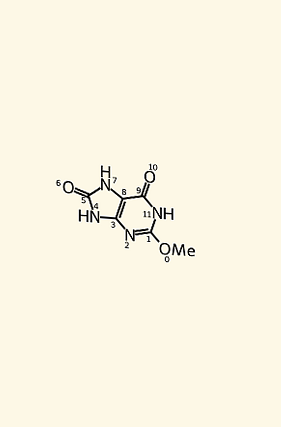 COc1nc2[nH]c(=O)[nH]c2c(=O)[nH]1